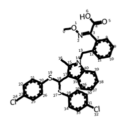 CON=C(C(=O)O)c1ccccc1Cn1c(C)c(C(Sc2ccc(Cl)cc2)Sc2ccc(Cl)cc2)c2ccccc21